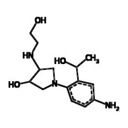 CC(O)c1cc(N)ccc1N1CC(O)C(NCCO)C1